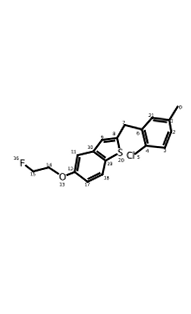 Cc1ccc(Cl)c(Cc2cc3cc(OCCF)ccc3s2)c1